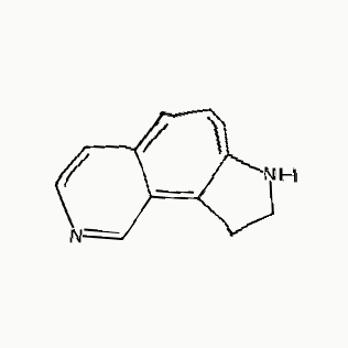 c1cc2ccc3c(c2cn1)CCN3